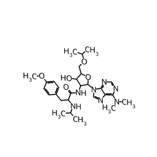 COc1ccc(CC(NC(C)C)C(=O)NC2C(O)C(COC(C)C)OC2n2cnc3c(N(C)C)ncnc32)cc1